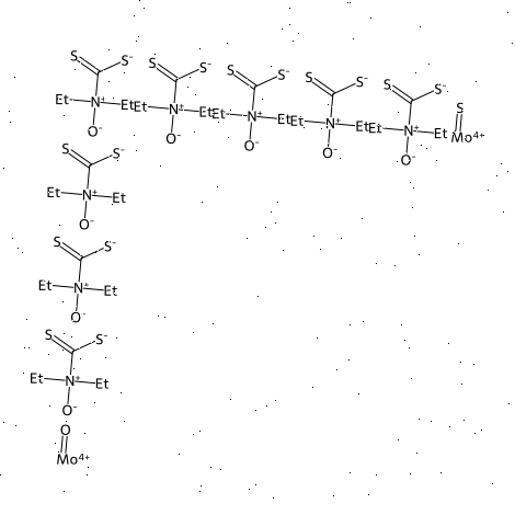 CC[N+]([O-])(CC)C(=S)[S-].CC[N+]([O-])(CC)C(=S)[S-].CC[N+]([O-])(CC)C(=S)[S-].CC[N+]([O-])(CC)C(=S)[S-].CC[N+]([O-])(CC)C(=S)[S-].CC[N+]([O-])(CC)C(=S)[S-].CC[N+]([O-])(CC)C(=S)[S-].CC[N+]([O-])(CC)C(=S)[S-].[O]=[Mo+4].[S]=[Mo+4]